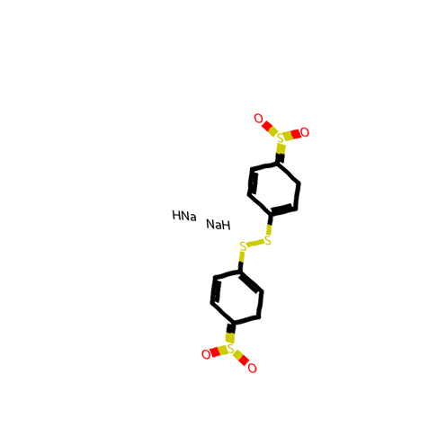 O=S(=O)=C1C=CC(SSC2=CCC(=S(=O)=O)C=C2)=CC1.[NaH].[NaH]